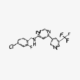 Fc1cc(Cl)ccc1CNc1cc(-c2cncc(C(F)(F)F)c2)ncn1